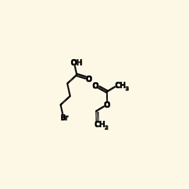 C=COC(C)=O.O=C(O)CCCBr